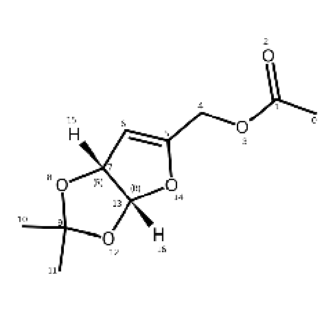 CC(=O)OCC1=C[C@H]2OC(C)(C)O[C@H]2O1